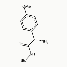 COc1ccc([C@H](N)C(=O)NC(C)(C)C)cc1